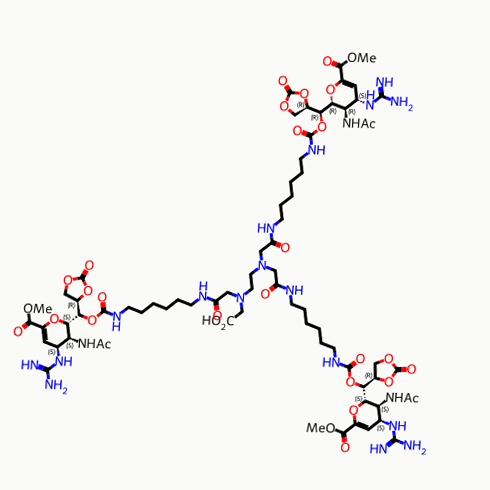 COC(=O)C1=C[C@H](NC(=N)N)[C@@H](NC(C)=O)[C@H]([C@@H](OC(=O)NCCCCCCNC(=O)CN(CCN(CC(=O)O)CC(=O)NCCCCCCNC(=O)OC([C@H]2OC(C(=O)OC)=C[C@H](NC(=N)N)[C@@H]2NC(C)=O)[C@H]2COC(=O)O2)CC(=O)NCCCCCCNC(=O)OC([C@H]2OC(C(=O)OC)=C[C@H](NC(=N)N)[C@@H]2NC(C)=O)[C@H]2COC(=O)O2)[C@H]2COC(=O)O2)O1